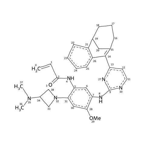 C=CC(=O)Nc1cc(Nc2nccc(C3=C4CCCC(C4)c4ccccc43)n2)c(OC)cc1N1CC(N(C)C)C1